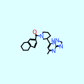 CC1=NC2=NCNN2C(C2CCCN(C(=O)c3ccc4c(c3)CCCC4)C2)=C1